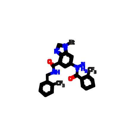 CCn1cnc2c(C(=O)NCc3ccccc3C(F)(F)F)cc(N(N)C(=O)c3ccccc3C(F)(F)F)cc21